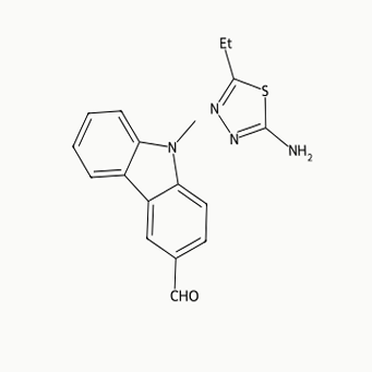 CCc1nnc(N)s1.Cn1c2ccccc2c2cc(C=O)ccc21